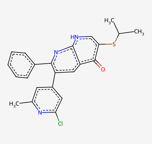 Cc1cc(-c2cc3c(=O)c(SC(C)C)c[nH]c3nc2-c2ccccc2)cc(Cl)n1